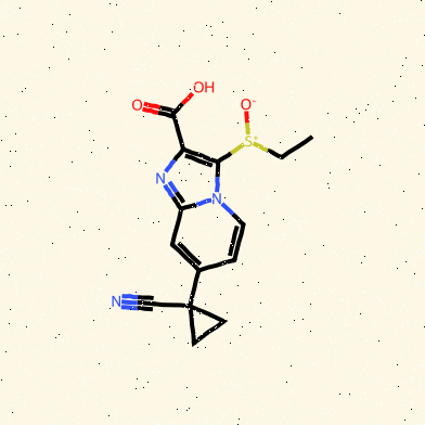 CC[S+]([O-])c1c(C(=O)O)nc2cc(C3(C#N)CC3)ccn12